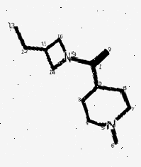 C=C(C1CCN(C)CC1)N1CC(CC)C1